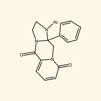 CC(=O)N1CCN2C(=O)c3cccc(=O)n3CC12c1ccccc1